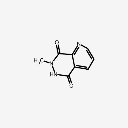 Cn1[nH]c(=O)c2cccnc2c1=O